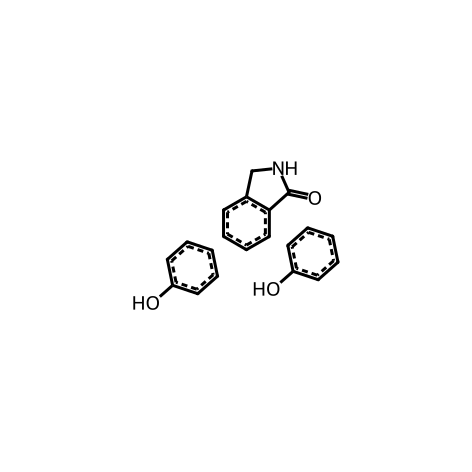 O=C1NCc2ccccc21.Oc1ccccc1.Oc1ccccc1